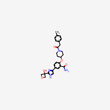 Cc1ccc(CC(=O)N2CCC(Oc3ccc(-c4c[nH]c(C5(O)COC5)n4)cc3C(N)=O)CC2)cc1